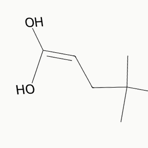 CC(C)(C)CC=C(O)O